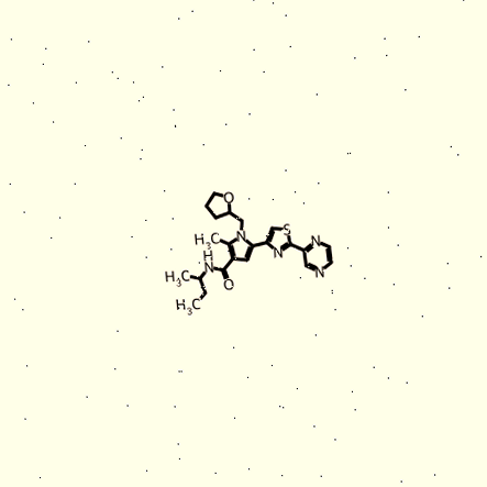 CCC(C)NC(=O)c1cc(-c2csc(-c3cnccn3)n2)n(CC2CCCO2)c1C